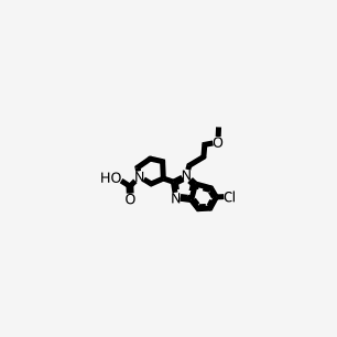 COCCCn1c(C2CCCN(C(=O)O)C2)nc2ccc(Cl)cc21